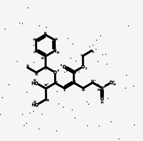 CCOC(=O)C(=CC(OC(CC)c1ccccn1)C(O)CO)CC[N+](=O)[O-]